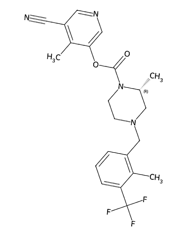 Cc1c(C#N)cncc1OC(=O)N1CCN(Cc2cccc(C(F)(F)F)c2C)C[C@H]1C